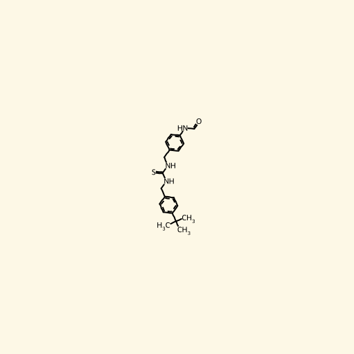 CC(C)(C)c1ccc(CNC(=S)NCc2ccc(NC=O)cc2)cc1